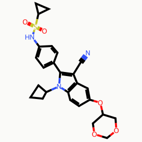 N#Cc1c(-c2ccc(NS(=O)(=O)C3CC3)cc2)n(C2CCC2)c2ccc(OC3COCOC3)cc12